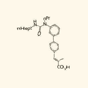 CCCCCCCNC(=O)N(CCC)c1cccc(-c2ccc(/C=C(\C)C(=O)O)cc2)c1